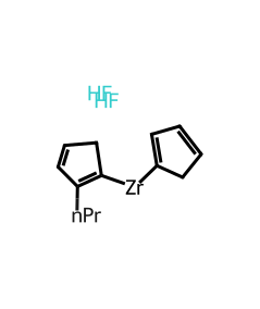 CCCC1=[C]([Zr][C]2=CC=CC2)CC=C1.F.F